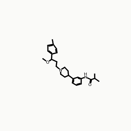 COC(CCN1CCC(c2cccc(NC(=O)C(C)C)c2)CC1)c1ccc(C)cc1